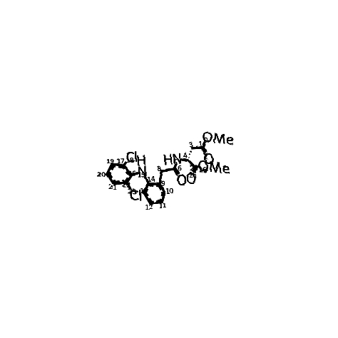 COC(=O)C[C@@H](NC(=O)Cc1ccccc1Nc1c(Cl)cccc1Cl)C(=O)OC